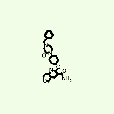 NC(=O)c1cc2c(nc1O[C@H]1CC[C@H](N3CCN(Cc4ccccc4)CC3=O)CC1)CCOC2